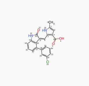 Cc1cc(C(=O)O)c(C=C2C(=O)Nc3cccc(-c4cccc(Cl)c4)c32)[nH]1